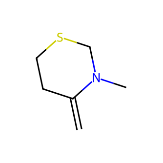 C=C1CCSCN1C